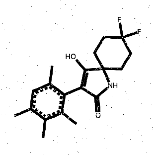 Cc1cc(C)c(C2=C(O)C3(CCC(F)(F)CC3)NC2=O)c(C)c1C